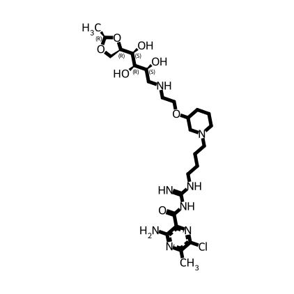 Cc1nc(N)c(C(=O)NC(=N)NCCCCN2CCCC(OCCNC[C@H](O)[C@@H](O)[C@H](O)[C@H]3CO[C@@H](C)O3)C2)nc1Cl